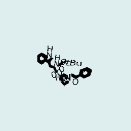 CC(C)(C)OC(=O)NC(Cc1c[nH]c2ccccc12)C(=O)O[C@H]1C[N+]2(CC(=O)c3ccccc3)CCC1CC2